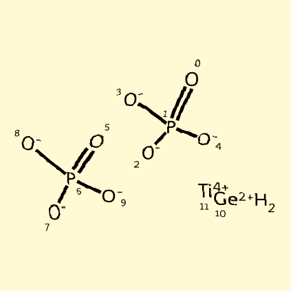 O=P([O-])([O-])[O-].O=P([O-])([O-])[O-].[GeH2+2].[Ti+4]